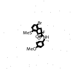 COc1ccc([C@@H](C)NC(=O)[C@@]2(F)Cc3c(Br)ccc(SC)c3[C@@H]2O)cc1